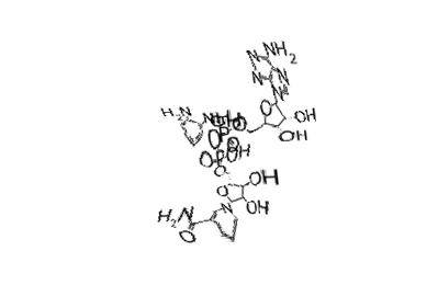 NC(=O)C1=CN([C@@H]2O[C@H](COP(=O)(O)OP(=O)(O)OC[C@H]3O[C@@H](n4cnc5c(N)ncnc54)[C@H](O)[C@@H]3O)[C@@H](O)[C@H]2O)C=CC1.Nc1ccccc1N